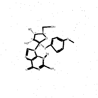 [2H]n1c(N)nc(=O)c2ncn([C@]3(Sc4ccc(OC)cc4)O[C@H](CO)[C@@H](O)[C@H]3O)c21